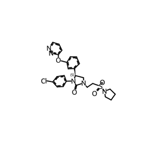 O=C1N(CCS(=O)(=O)N2CCCC2)C[C@H](c2cccc(Oc3cccnn3)c2)N1c1ccc(Cl)cc1